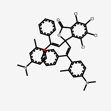 Cc1cc(N(C)C)ccc1C(=CC1(C=C(c2ccccc2)c2ccc(N(C)C)cc2C)OC(=O)c2c(Cl)c(Cl)c(Cl)c(Cl)c21)c1ccccc1